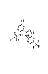 O=C(Nc1ccc(C(F)(F)F)cc1Cl)c1cc(Cl)ccc1NS(=O)(=O)C1CC1